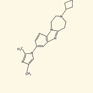 Cc1cn(-c2ccc3c(c2)nc2n3CCN(C3CCC3)CC2)c(C)n1